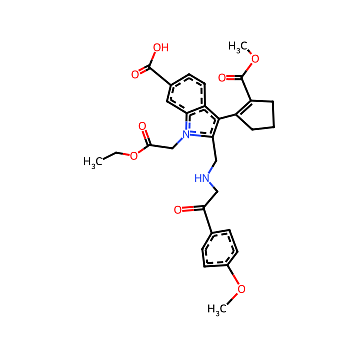 CCOC(=O)Cn1c(CNCC(=O)c2ccc(OC)cc2)c(C2=C(C(=O)OC)CCC2)c2ccc(C(=O)O)cc21